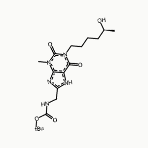 C[C@H](O)CCCCn1c(=O)c2[nH]c(CNC(=O)OC(C)(C)C)nc2n(C)c1=O